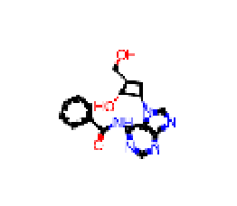 O=C(Nc1ncnc2ncn([C@@H]3C[C@H](CO)[C@H]3O)c12)c1ccccc1